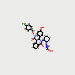 COc1ccc(C2C(C(=O)NOCc3ccc(Cl)cc3)c3ccccc3C(=O)N2C2CCCCC2NCCO)cc1